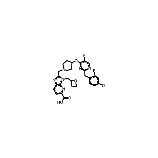 O=C(O)c1ccc2nc(CN3CCC(Oc4nc(Cc5ccc(Cl)cc5F)ncc4F)CC3)n(CC3CCO3)c2n1